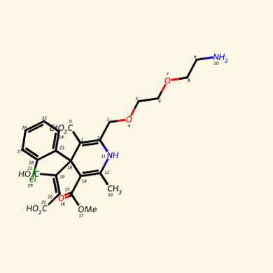 CCOC(=O)C1=C(COCCOCCN)NC(C)=C(C(=O)OC)C1(/C(=C/C(=O)O)C(=O)O)c1ccccc1Cl